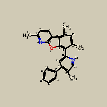 Cc1ccc2c(n1)oc1c(-c3cc(-c4ccccc4)c(C)cn3)c(C)cc(C)c12